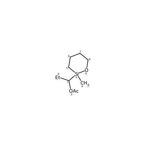 CCC(OC(C)=O)[Si]1(C)CCCCO1